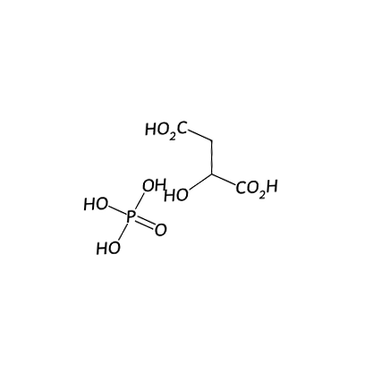 O=C(O)CC(O)C(=O)O.O=P(O)(O)O